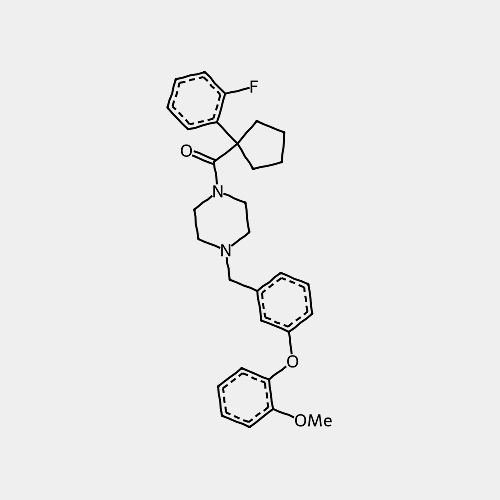 COc1ccccc1Oc1cccc(CN2CCN(C(=O)C3(c4ccccc4F)CCCC3)CC2)c1